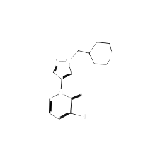 Nc1cccn(-c2cnn(CC3CCOCC3)c2)c1=O